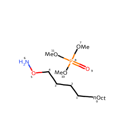 CCCCCCCCCCCCON.COP(=O)(OC)OC